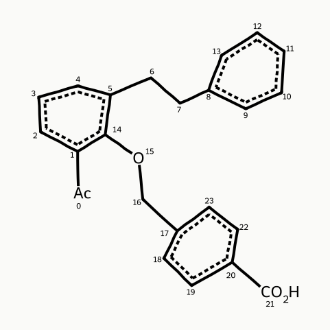 CC(=O)c1cccc(CCc2ccccc2)c1OCc1ccc(C(=O)O)cc1